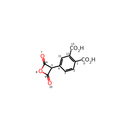 O=C(O)c1ccc(C2C(=O)OC2=O)cc1C(=O)O